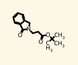 CC(C)(C)OC(=O)CCN1Cc2ccccc2C1=O